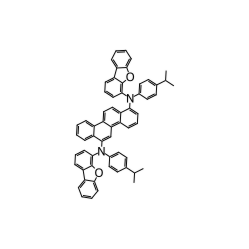 CC(C)c1ccc(N(c2cc3c4cccc(N(c5ccc(C(C)C)cc5)c5cccc6c5oc5ccccc56)c4ccc3c3ccccc23)c2cccc3c2oc2ccccc23)cc1